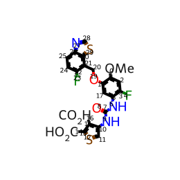 COc1cc(F)c(NC(=O)Nc2csc(C(=O)O)c2C(=O)O)cc1OCc1c(F)ccc2ncsc12